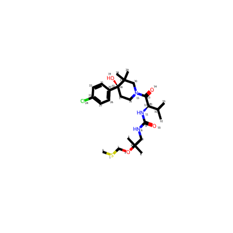 CSCOC(C)(C)CNC(=O)N[C@@H](C(=O)N1CC[C@](O)(c2ccc(Cl)cc2)C(C)(C)C1)C(C)C